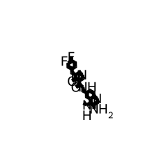 CNc1c(N)cnc2ccc(CNC(=O)c3cncn(Cc4ccc(F)c(F)c4)c3=O)cc12